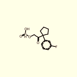 O=C(CO[PH](=O)O)C1(c2cccc(F)c2)CCCC1